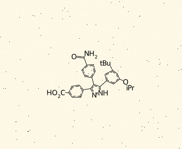 CC(C)Oc1cc(-c2[nH]nc(-c3ccc(C(=O)O)cc3)c2-c2ccc(C(N)=O)cc2)cc(C(C)(C)C)c1